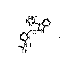 C=C(CC)Nc1cccc(COc2nc3ccccc3n2-c2nnnn2C)n1